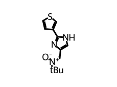 CC(C)(C)[N+]([O-])=Cc1c[nH]c(-c2ccsc2)n1